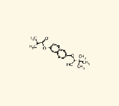 C=C(C)C(=O)Oc1ccc2cc(OC(O)C(C)(C)C)ccc2c1